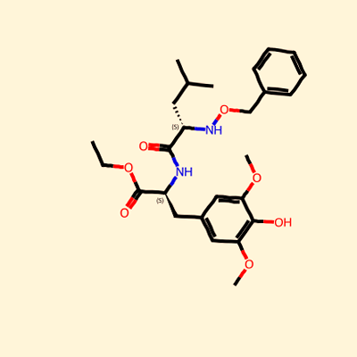 CCOC(=O)[C@H](Cc1cc(OC)c(O)c(OC)c1)NC(=O)[C@H](CC(C)C)NOCc1ccccc1